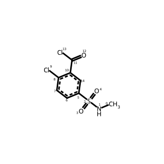 CNS(=O)(=O)c1ccc(Cl)c(C(=O)Cl)c1